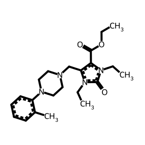 CCOC(=O)c1c(CN2CCN(c3ccccc3C)CC2)n(CC)c(=O)n1CC